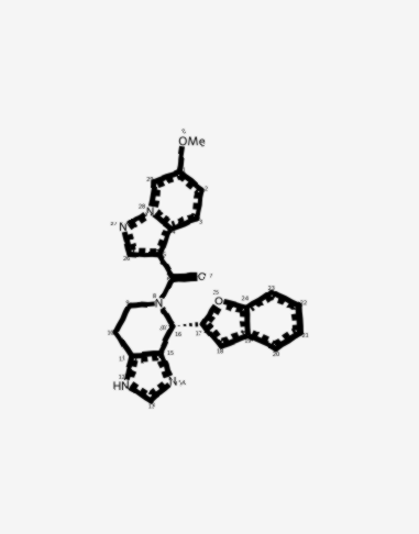 COc1ccc2c(C(=O)N3CCc4[nH]cnc4[C@H]3c3cc4ccccc4o3)cnn2c1